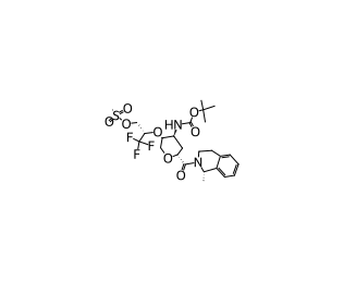 C[C@H]1c2ccccc2CCN1C(=O)[C@H]1C[C@H](NC(=O)OC(C)(C)C)[C@@H](O[C@@H](COS(C)(=O)=O)C(F)(F)F)CO1